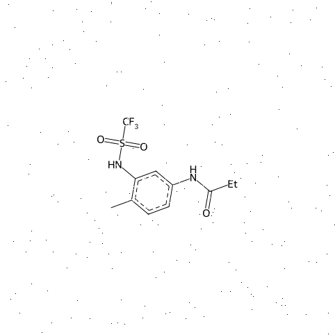 CCC(=O)Nc1ccc(C)c(NS(=O)(=O)C(F)(F)F)c1